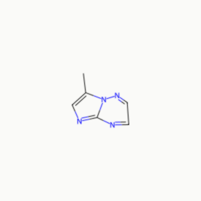 Cc1cnc2nccnn12